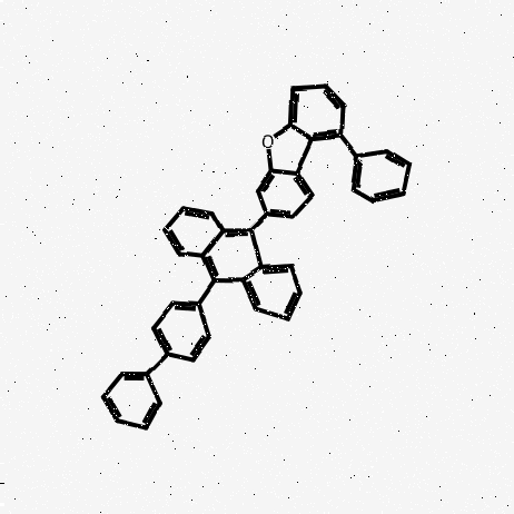 c1ccc(-c2ccc(-c3c4ccccc4c(-c4ccc5c(c4)oc4cccc(-c6ccccc6)c45)c4ccccc34)cc2)cc1